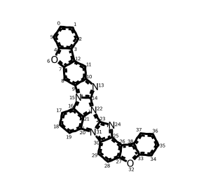 c1ccc2c(c1)oc1cc3c(cc12)nc1n3c2cccc3c2n1c1nc2c4c(ccc2n31)oc1ccccc14